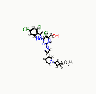 CC(Nc1nc(N2CC([C@H]3CCCN(C4CC(C)(C(=O)O)C4)C3)C2)nc(CO)c1Cl)c1ccc(Cl)cc1Cl